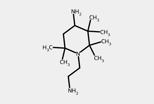 CC1(C)CC(N)C(C)(C)C(C)(C)N1CCN